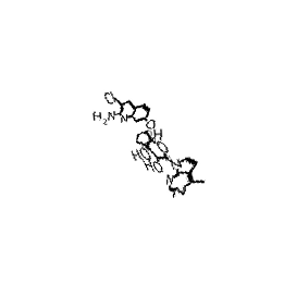 Cc1ncnc2c1ccn2[C@@H]1O[C@@H]2[C@@H](Oc3ccc4cc(Cl)c(N)nc4c3)CC[C@]2(O)C1O